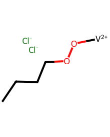 CCCCO[O][V+2].[Cl-].[Cl-]